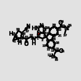 C[C@@H](CC1(c2nn[nH]n2)c2ccc(C(=O)N(C)C)cc2-c2cc(C(=O)N(C)C)ccc21)NCC(=O)N1[C@H](C#N)C[C@@H]2C[C@@H]21